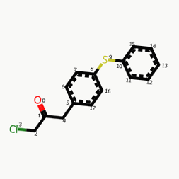 O=C(CCl)Cc1ccc(Sc2ccccc2)cc1